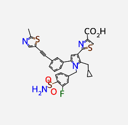 Cc1ncc(C#Cc2cccc(-c3cc(-c4nc(C(=O)O)cs4)c(CC4CC4)n3Cc3ccc(S(N)(=O)=O)c(F)c3)c2)s1